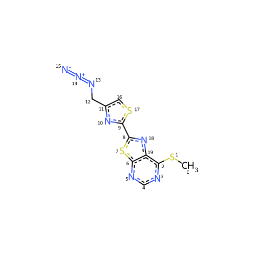 CSc1ncnc2sc(-c3nc(CN=[N+]=[N-])cs3)nc12